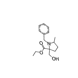 CCOC(=O)C1(CO)CCC(C)N1Cc1ccccc1